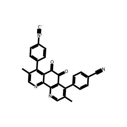 [C-]#[N+]c1ccc(-c2c(C)cnc3c2C(=O)C(=O)c2c-3ncc(C)c2-c2ccc(C#N)cc2)cc1